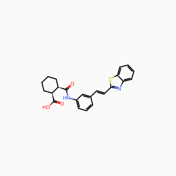 O=C(O)[C@H]1CCCC[C@H]1C(=O)Nc1cccc(/C=C/c2nc3ccccc3s2)c1